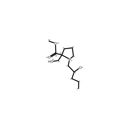 CCCC(Cl)CN1CCCC1(CO)C(=O)OC